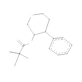 CC(C)(C)C(=O)OC1CNCCC1c1ccccc1